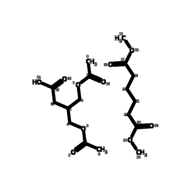 CC(=O)OCC(COC(C)=O)CC(=O)O.COC(=O)CCCCC(=O)OC